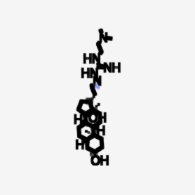 CN(C)CCNC(=N)N/N=C/C[C@H]1CC[C@]2(O)[C@@H]3CC[C@@H]4C[C@@H](O)CC[C@]4(C)[C@H]3CC[C@]12C